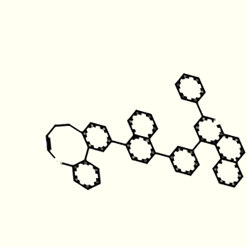 C1=C\Nc2ccccc2-c2cc(-c3ccc(-c4cccc(-c5cc(-c6ccccc6)nc6ccc7ccccc7c56)c4)c4ccccc34)ccc2CC/1